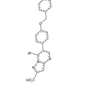 CC(C)c1c(-c2ccc(OCc3ccccc3)cc2)cnc2cc(C(=O)O)nn12